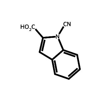 N#Cn1c(C(=O)O)cc2ccccc21